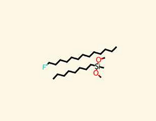 CCCCCCCCCCCCCF.CCCCCCCC[Si](C)(OC)OC